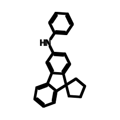 c1ccc(Nc2ccc3c(c2)-c2ccccc2C32CCCC2)cc1